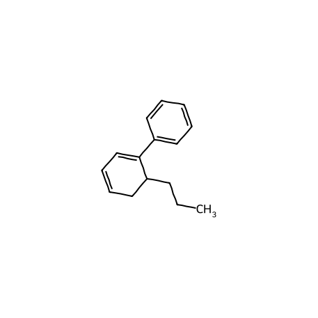 CCCC1CC=CC=C1c1ccccc1